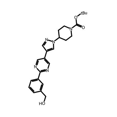 CC(C)(C)OC(=O)N1CCC(n2cc(-c3cnc(-c4cccc(CO)c4)nc3)cn2)CC1